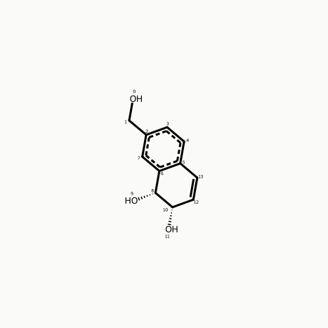 OCc1ccc2c(c1)[C@@H](O)[C@@H](O)C=C2